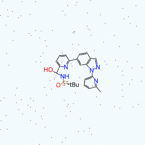 Cc1cccc(-n2ncc3ccc(-c4cccc([C@](C)(O)N[S@+]([O-])C(C)(C)C)n4)cc32)n1